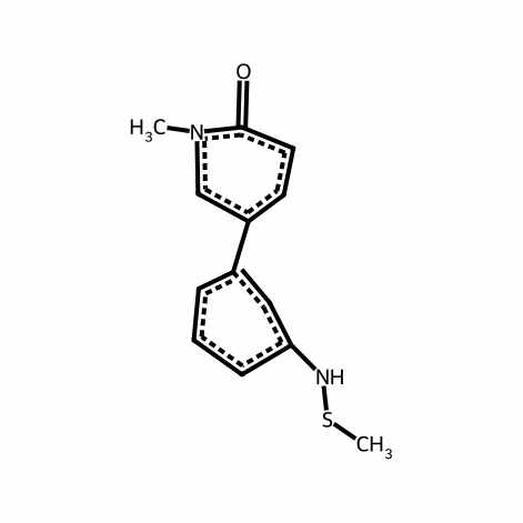 CSNc1cccc(-c2ccc(=O)n(C)c2)c1